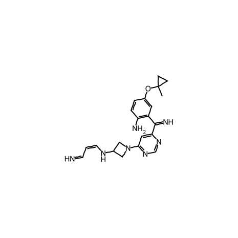 CC1(Oc2ccc(N)c(C(=N)c3cc(N4CC(N/C=C\C=N)C4)ncn3)c2)CC1